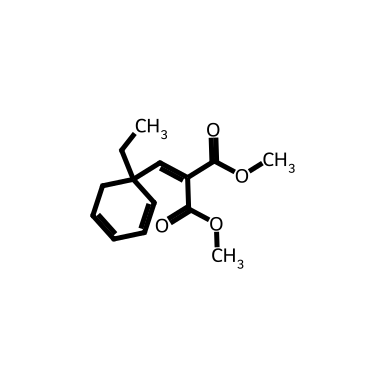 CCC1(C=C(C(=O)OC)C(=O)OC)C=CC=CC1